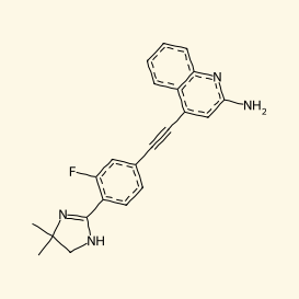 CC1(C)CNC(c2ccc(C#Cc3cc(N)nc4ccccc34)cc2F)=N1